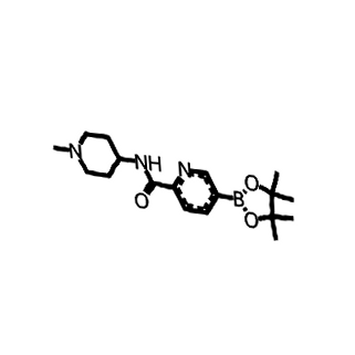 CN1CCC(NC(=O)c2ccc(B3OC(C)(C)C(C)(C)O3)cn2)CC1